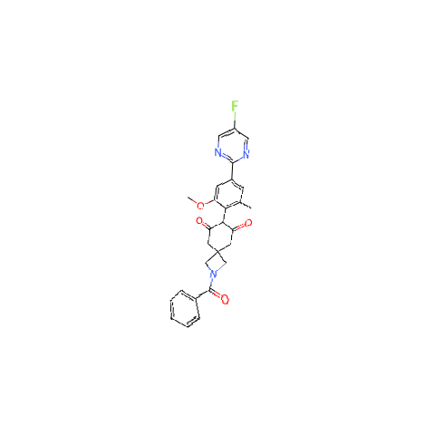 COc1cc(-c2ncc(F)cn2)cc(C)c1C1C(=O)CC2(CC1=O)CN(C(=O)c1ccccc1)C2